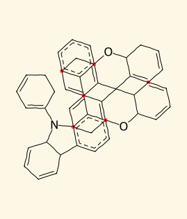 C1=CCCC(N2c3c(C4=CCCC5=C4C4(C6=CC=CCC6O5)C5=C(CCC=C5c5ccccc5)OC5C=CC=CC54)cccc3C3C=CC=CC32)=C1